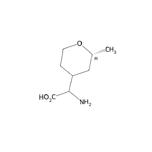 C[C@@H]1CC(C(N)C(=O)O)CCO1